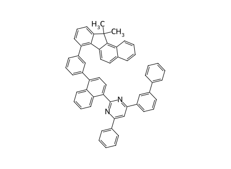 CC1(C)c2cccc(-c3cccc(-c4ccc(-c5nc(-c6ccccc6)cc(-c6cccc(-c7ccccc7)c6)n5)c5ccccc45)c3)c2-c2ccc3ccccc3c21